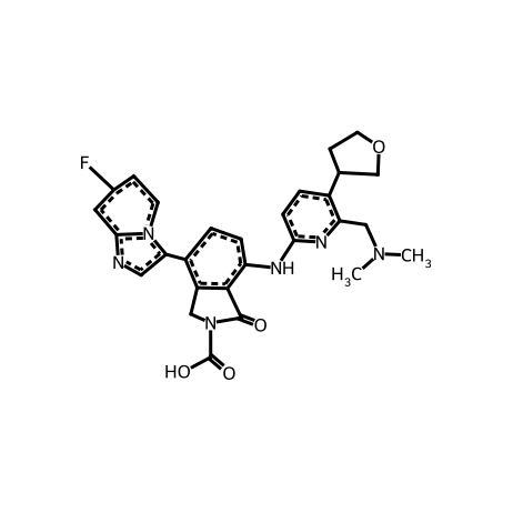 CN(C)Cc1nc(Nc2ccc(-c3cnc4cc(F)ccn34)c3c2C(=O)N(C(=O)O)C3)ccc1C1CCOC1